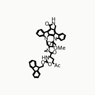 COC1C(N(C)C(=O)C(CCC(C)=O)NC(=O)OCC2c3ccccc3-c3ccccc32)CC2OC1(C)n1c3ccccc3c3c4c(c5c6ccccc6n2c5c31)C(=O)NC4